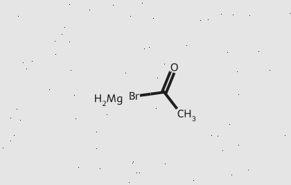 CC(=O)Br.[MgH2]